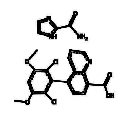 COc1cc(OC)c(Cl)c(-c2ccc(C(=O)O)c3ncccc23)c1Cl.NC(=O)c1ncc[nH]1